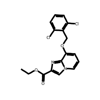 CCOC(=O)c1cn2cccc(OCc3c(Cl)cccc3Cl)c2n1